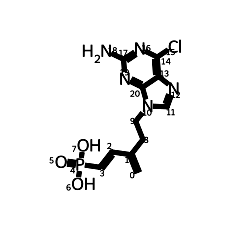 C=C(C=CP(=O)(O)O)CCn1cnc2c(Cl)nc(N)nc21